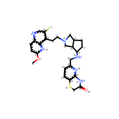 COc1ccc2ncc(F)c(CCN3CC4CCC(NCc5ccc6c(n5)NC(=O)CS6)C4C3)c2n1